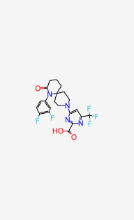 O=C(O)c1nc(N2CCC3(CCCC(=O)N3c3ccc(F)c(F)c3)CC2)cc(C(F)(F)F)n1